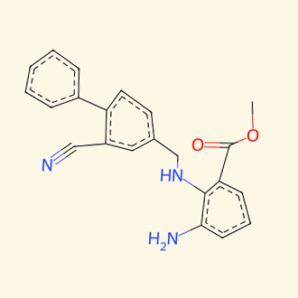 COC(=O)c1cccc(N)c1NCc1ccc(-c2ccccc2)c(C#N)c1